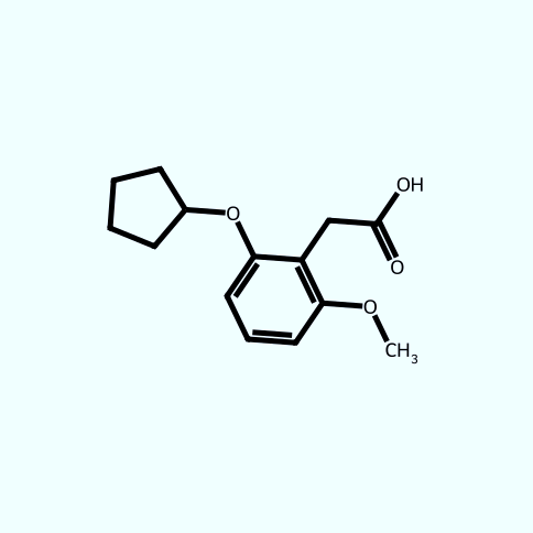 COc1cccc(OC2CCCC2)c1CC(=O)O